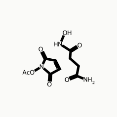 CC(=O)ON1C(=O)C=CC1=O.NC(=O)CCC(=O)NO